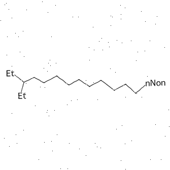 [CH2]CC(CC)CCCCCCCCCCCCCCCCCCC